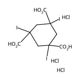 Cl.Cl.Cl.O=C(O)C1(I)CC(I)(C(=O)O)CC(I)(C(=O)O)C1